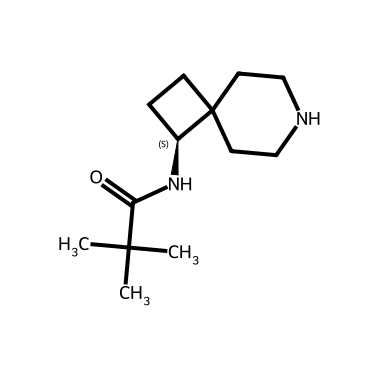 CC(C)(C)C(=O)N[C@H]1CCC12CCNCC2